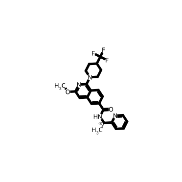 COc1cc2cc(C(=O)N[C@@H](C)c3ccccn3)ccc2c(N2CCC(C(F)(F)F)CC2)n1